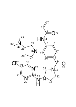 C=CC(=O)Nc1ccc(C(=O)N2CCC(Nc3ncc(Cl)cn3)C2)cc1N1CCC(N(C)C)C1